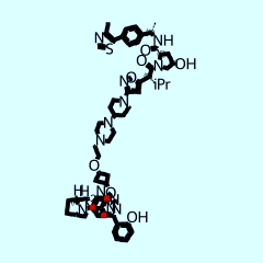 Cc1ncsc1-c1ccc([C@H](C)NC(=O)[C@@H]2C[C@@H](O)CN2C(=O)[C@@H](c2cc(N3CCC(N4CCN(CCOC5CC(Oc6cc(N7C8CC[C@@H]7CN(c7cc(-c9ccccc9O)nnc7N)C8)ccn6)C5)CC4)CC3)no2)C(C)C)cc1